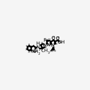 CC1(CNC(=O)Cc2ccccc2N)CCN(c2nc3c(cc2F)c(=O)c(C(=O)O)cn3C2CC2)C1